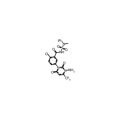 CC(C)N(C)S(=O)(=O)NC(=O)c1cc(-n2c(=O)cc(C(F)(F)F)n(N)c2=O)ccc1Cl